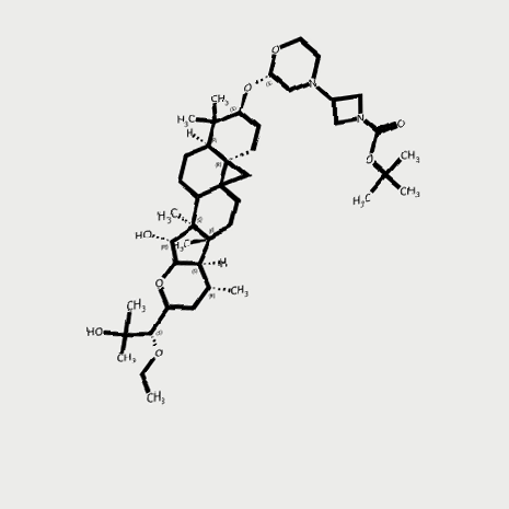 CCO[C@@H](C1C[C@@H](C)[C@H]2C(O1)[C@H](O)[C@@]1(C)C3CC[C@H]4C(C)(C)[C@@H](O[C@H]5CN(C6CN(C(=O)OC(C)(C)C)C6)CCO5)CC[C@@]45CC35CC[C@]21C)C(C)(C)O